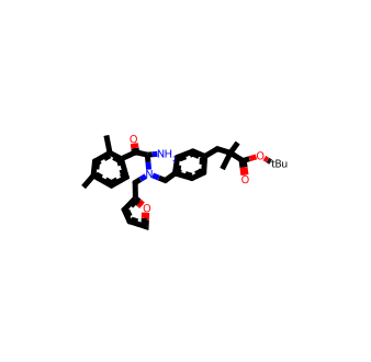 Cc1ccc(C(=O)C(N)N(Cc2ccc(CC(C)(C)C(=O)OC(C)(C)C)cc2)Cc2ccco2)c(C)c1